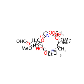 CCC1/C=C(\C)CC(C)CC(OC)C2OC(O)(C(=O)C(=O)N3CCCCC3C(=O)OC(C(C)=CC3CCC(OCC=O)C(OC)C3)C(C)C(O)CC1=O)C(C)CC2OC